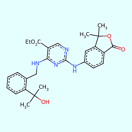 CCOC(=O)c1cnc(Nc2ccc3c(c2)C(C)(C)OC3=O)nc1NCc1ccccc1C(C)(C)O